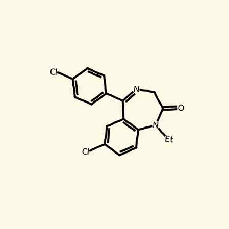 CCN1C(=O)CN=C(c2ccc(Cl)cc2)c2cc(Cl)ccc21